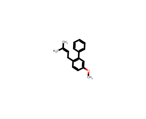 COc1ccc(CC=C(C)C)c(-c2ccccc2)c1